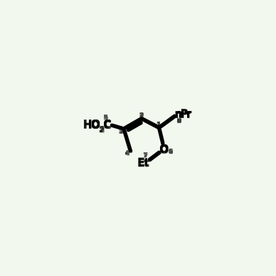 CCCC(C=C(C)C(=O)O)OCC